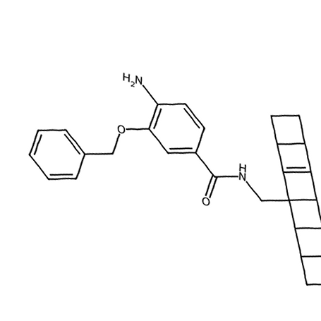 Nc1ccc(C(=O)NCC23C4=C(C5CCC45)C2C2C4CCC4C23)cc1OCc1ccccc1